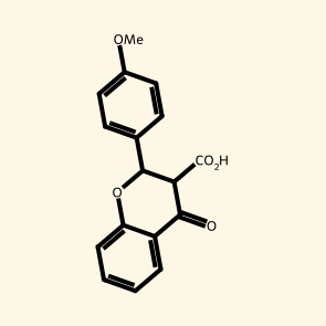 COc1ccc(C2Oc3ccccc3C(=O)C2C(=O)O)cc1